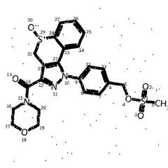 CS(=O)(=O)OCc1ccc(-n2nc(C(=O)N3CCOCC3)c3c2-c2ccccc2[S+]([O-])C3)cc1